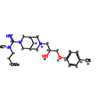 COCCN(C#N)C(=N)N1CC2CC(CN(CC(O)COc3ccc(C#N)cc3)C2)C1